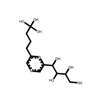 OCC(O)C(O)C(O)c1cncc(CCCC(O)(O)O)n1